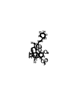 COc1cc(OC(C)=O)c2c3c1O[C@H]1[C@H](N(C)C(=O)C=Cc4ccccc4)CC[C@H]4[C@@H](C2)N(C)CC[C@@]341